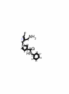 NC/C(=C\F)Cn1ccc(C(=O)Nc2ccccc2)c1